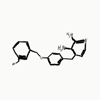 Nc1nccc(Cc2ccc(OCc3cccc(F)c3)cc2)c1N